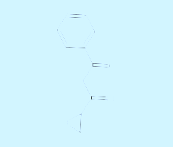 O=C(CC(=O)C1CO1)c1ccccc1